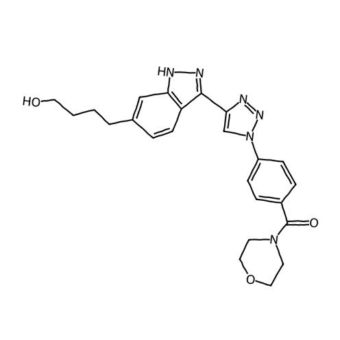 O=C(c1ccc(-n2cc(-c3n[nH]c4cc(CCCCO)ccc34)nn2)cc1)N1CCOCC1